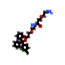 Cc1ccc(C(OC(=O)CCOCCNC(=O)CCOCCN)(c2ccccc2)c2ccccc2Cl)cc1